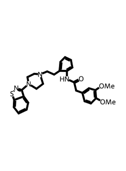 COc1ccc(CC(=O)Nc2ccccc2CCN2CCN(c3nsc4ccccc34)CC2)cc1OC